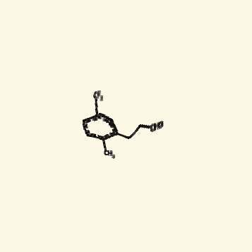 Cc1ccc(C(F)(F)F)cc1CCC=O